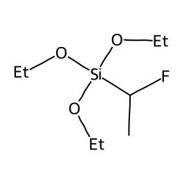 CCO[Si](OCC)(OCC)C(C)F